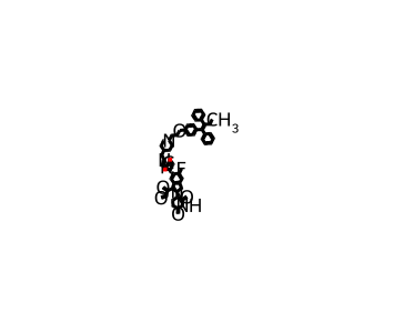 CCC(=C(c1ccccc1)c1ccc(OCCN2CCC(CN3CC4CCC3CN4c3cc4c(cc3F)CN(C3CCC(=O)NC3=O)C4C(=O)C=O)CC2)cc1)c1ccccc1